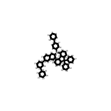 c1ccc(-c2ccc(N(c3ccc4cc(-c5cccc(-c6ccccc6)c5)ccc4c3)c3cccc4c3-c3ccccc3C4(c3ccccc3)c3ccccc3)cc2)cc1